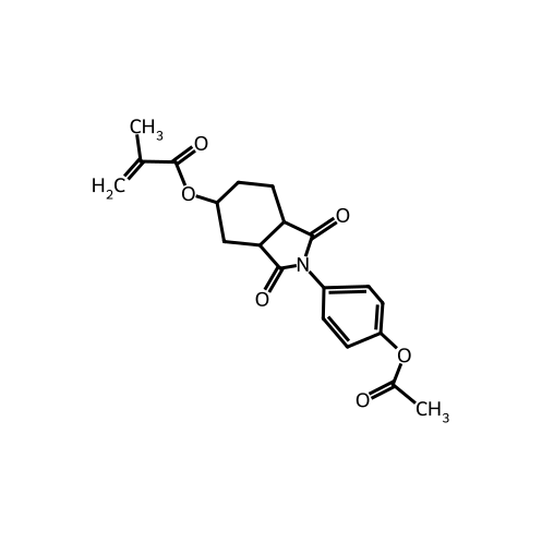 C=C(C)C(=O)OC1CCC2C(=O)N(c3ccc(OC(C)=O)cc3)C(=O)C2C1